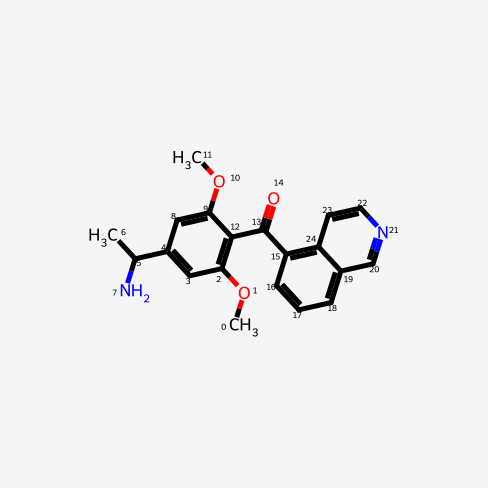 COc1cc(C(C)N)cc(OC)c1C(=O)c1cccc2cnccc12